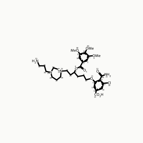 COc1cc(C(=O)OC(CCCOc2cc(C(=O)O)cc(Cl)c2C(N)=O)CCN2CCCN(CCCN)CC2)cc(OC)c1OC